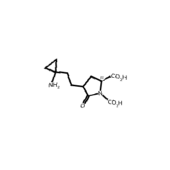 NC1(CCC2C[C@@H](C(=O)O)N(C(=O)O)C2=O)CC1